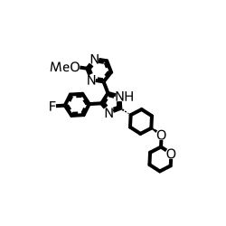 COc1nccc(-c2[nH]c([C@H]3CC[C@H](OC4CCCCO4)CC3)nc2-c2ccc(F)cc2)n1